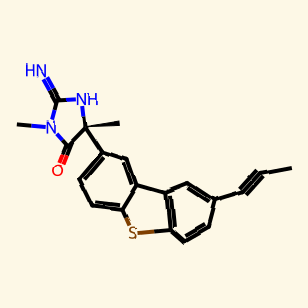 CC#Cc1ccc2sc3ccc([C@@]4(C)NC(=N)N(C)C4=O)cc3c2c1